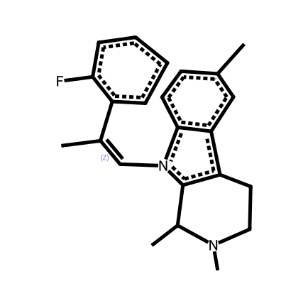 C/C(=C/n1c2c(c3cc(C)ccc31)CCN(C)C2C)c1ccccc1F